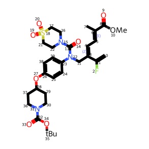 C=C(F)/C(=C\C=C(/C)C(=O)OC)CN(C(=O)N1CCS(=O)(=O)CC1)c1ccc(OC2CCN(C(=O)OC(C)(C)C)CC2)cc1